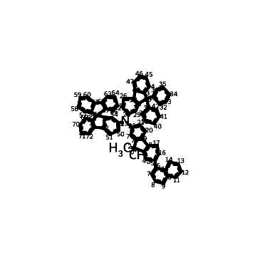 CC1(C)c2cc(-c3cccc4ccccc34)ccc2-c2ccc(N(c3ccc4c(c3)C(c3ccccc3)(c3ccccc3)c3ccccc3-4)c3ccc4c(c3)C3(c5ccccc5-c5ccccc53)c3ccccc3-4)cc21